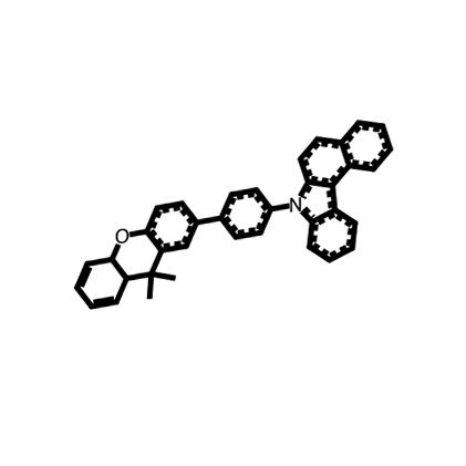 CC1(C)c2cc(-c3ccc(-n4c5ccccc5c5c6ccccc6ccc54)cc3)ccc2OC2C=CC=CC21